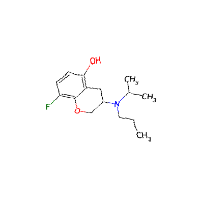 CCCN(C(C)C)C1COc2c(F)ccc(O)c2C1